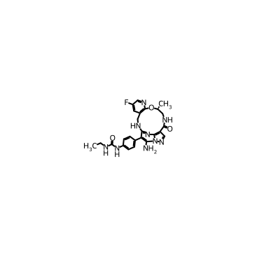 CCNC(=O)Nc1ccc(-c2c3nc4c(cnn4c2N)C(=O)NC[C@H](C)Oc2ncc(F)cc2CN3)cc1